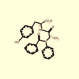 C[C@@H](C(=O)N[C@@H](Cc1ccc(O)cc1)C(=O)O)N(C(=O)c1ccccc1)c1ccccc1